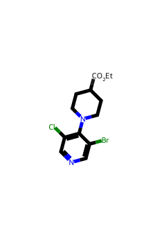 CCOC(=O)C1CCN(c2c(Cl)cncc2Br)CC1